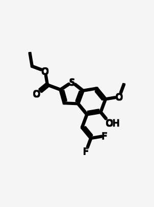 CCOC(=O)c1cc2c(C=C(F)F)c(O)c(OC)cc2s1